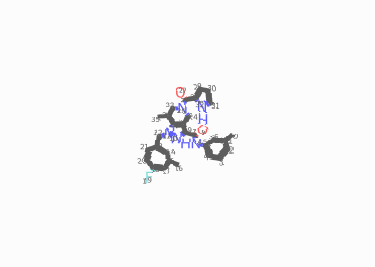 Cc1cccc(NC(=O)c2nn(CC3=CC(C)C=C(F)C=C3)c3c2CN(C(=O)c2ccc[nH]2)CC3C)c1